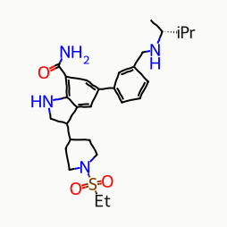 CCS(=O)(=O)N1CCC(C2CNc3c(C(N)=O)cc(-c4cccc(CN[C@H](C)C(C)C)c4)cc32)CC1